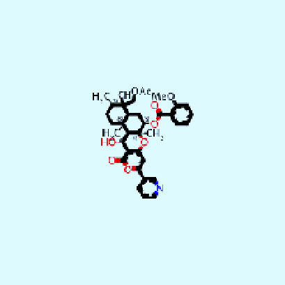 COc1ccccc1C(=O)O[C@H]1CC2C(C)(COC(C)=O)[C@@H](C)CC[C@]2(C)C2[C@@H](O)c3c(cc(-c4cccnc4)oc3=O)O[C@@]21C